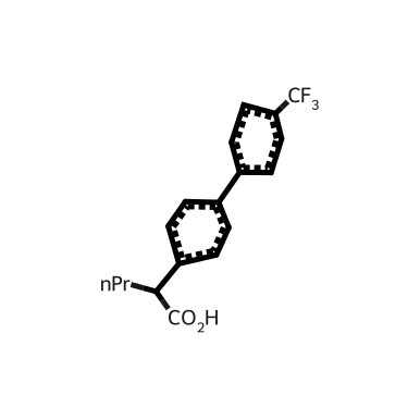 CCCC(C(=O)O)c1ccc(-c2ccc(C(F)(F)F)cc2)cc1